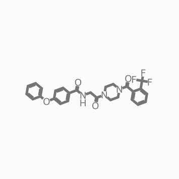 O=C(NCC(=O)N1CCN(C(=O)c2ccccc2C(F)(F)F)CC1)c1ccc(Oc2ccccc2)cc1